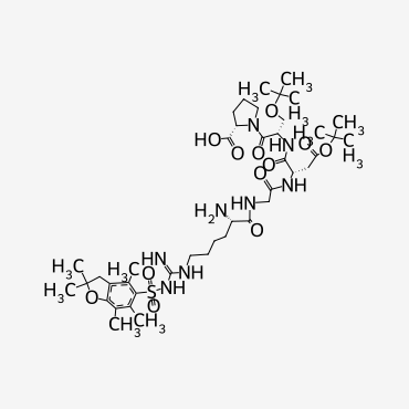 Cc1c(C)c(S(=O)(=O)NC(=N)NCCCC[C@H](N)C(=O)NCC(=O)N[C@@H](CC(=O)OC(C)(C)C)C(=O)N[C@@H](COC(C)(C)C)C(=O)N2CCC[C@H]2C(=O)O)c(C)c2c1OC(C)(C)C2